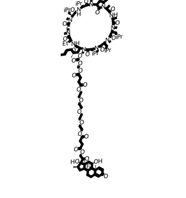 C/C=C/C[C@@H](C)[C@@H](OC(=O)OCOC(=O)CCC(=O)OCCOCCOCCOCCOC(=O)CCC(=O)OCC(=O)[C@@]1(O)[C@H](C)CC2C3CCC4=CC(=O)C=C[C@]4(C)[C@@]3(F)[C@@H](O)C[C@@]21C)C1C(=O)NC(CC)C(=O)N(C)CC(=O)N(C)[C@@H](CC(C)C)C(=O)NC(C(C)C)C(=O)N(C)C2CC(C)N(C2=O)C(C)C(=O)NC(C)C(=O)N(C)C(CC(C)C)C(=O)N(C)C(CC(C)C)C(=O)N(C)C(C(C)C)C(=O)N1C